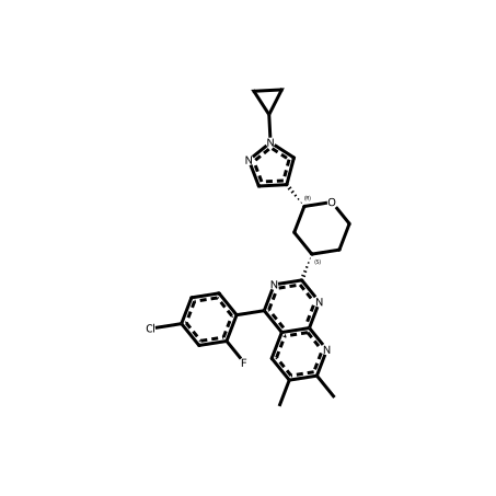 Cc1cc2c(-c3ccc(Cl)cc3F)nc([C@H]3CCO[C@@H](c4cnn(C5CC5)c4)C3)nc2nc1C